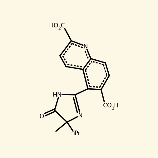 CC(C)C1(C)N=C(c2c(C(=O)O)ccc3nc(C(=O)O)ccc23)NC1=O